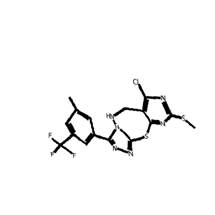 CSc1nc(Cl)c2c(n1)Sc1nnc(-c3cc(C)cc(C(F)(F)F)c3)n1NC2